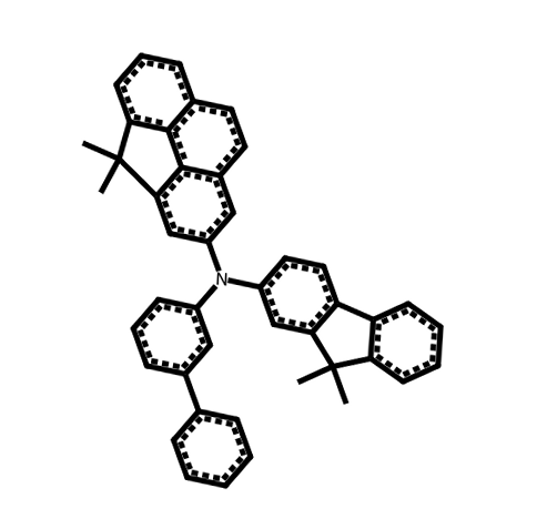 CC1(C)c2ccccc2-c2ccc(N(c3cccc(-c4ccccc4)c3)c3cc4c5c(ccc6cccc(c65)C4(C)C)c3)cc21